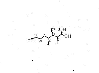 OC(O)C(F)C(F)C(F)CCCF